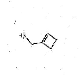 NCC1=CCC1